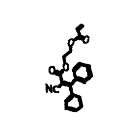 C=CC(=O)OCCOC(=O)C(C#N)=C(c1ccccc1)c1ccccc1